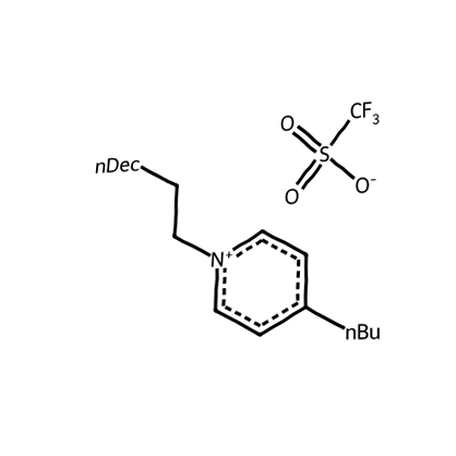 CCCCCCCCCCCC[n+]1ccc(CCCC)cc1.O=S(=O)([O-])C(F)(F)F